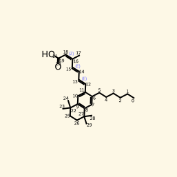 CCCCCCc1cc2c(cc1/C=C/C=C/C(C)=C\C(=O)O)C(C)(C)CCC2(C)C